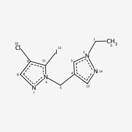 CCn1cc(Cn2ncc(Cl)c2I)cn1